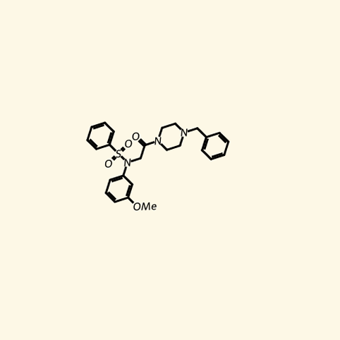 COc1cccc(N(CC(=O)N2CCN(Cc3ccccc3)CC2)S(=O)(=O)c2ccccc2)c1